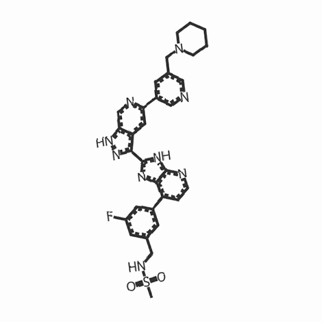 CS(=O)(=O)NCc1cc(F)cc(-c2ccnc3[nH]c(-c4n[nH]c5cnc(-c6cncc(CN7CCCCC7)c6)cc45)nc23)c1